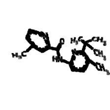 Cc1ccnc(C(=O)Nc2ccc(C)c(C(C)(C)C)n2)c1